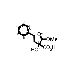 COC(=O)C(O)(CCc1ccccn1)C(=O)O